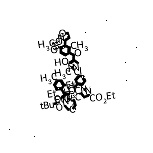 CCOC(=O)C1=NN(c2ccc(Cl)cc2Cl)C(C)(C(=O)OCC)C1.CCc1cc(C)cc(CC)c1-c1c(OC(=O)C(C)(C)C)n2n(c1=O)CCOCC2.Cc1c(C(=O)c2cnn(C)c2O)ccc(S(C)(=O)=O)c1C1=NOCC1